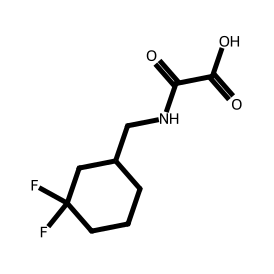 O=C(O)C(=O)NCC1CCCC(F)(F)C1